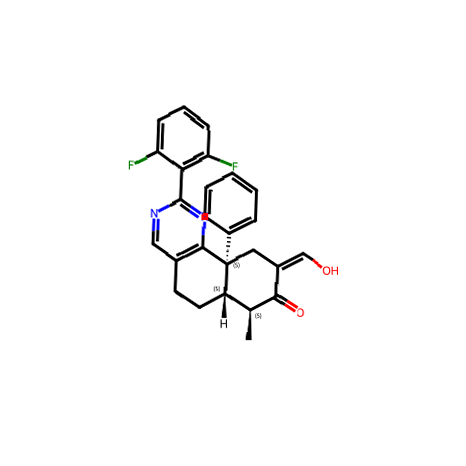 C[C@@H]1C(=O)C(=CO)C[C@]2(c3ccccc3)c3nc(-c4c(F)cccc4F)ncc3CC[C@@H]12